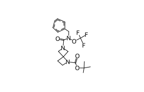 CC(C)(C)OC(=O)N1CCC12CN(C(=O)N(Cc1ccccc1)OC(F)(F)F)C2